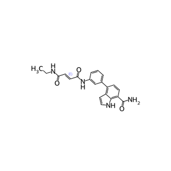 CCNC(=O)/C=C/C(=O)Nc1cccc(-c2ccc(C(N)=O)c3[nH]ccc23)c1